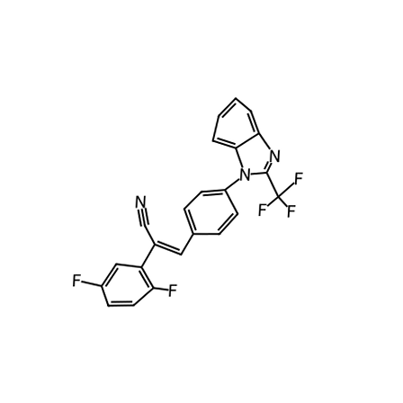 N#CC(=Cc1ccc(-n2c(C(F)(F)F)nc3ccccc32)cc1)c1cc(F)ccc1F